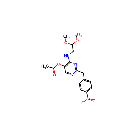 COC(CNc1nc(Cc2ccc([N+](=O)[O-])cc2)ncc1OC(C)=O)OC